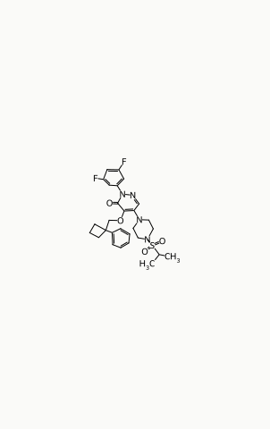 CC(C)S(=O)(=O)N1CCN(c2cnn(-c3cc(F)cc(F)c3)c(=O)c2OCC2(c3ccccc3)CCC2)CC1